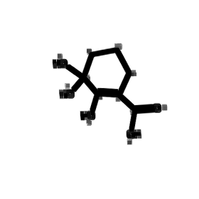 O=C(O)C1=C(O)C(O)(O)CCC1